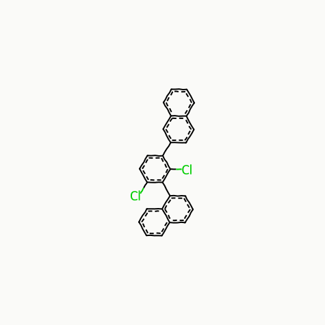 Clc1ccc(-c2ccc3ccccc3c2)c(Cl)c1-c1cccc2ccccc12